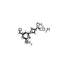 CN(C(=O)O)C1CN(c2cc(CCl)nc(N)n2)C1